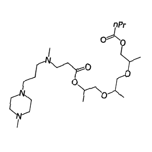 CCCC(=O)OCC(C)OCC(C)OCC(C)OC(=O)CCN(C)CCCN1CCN(C)CC1